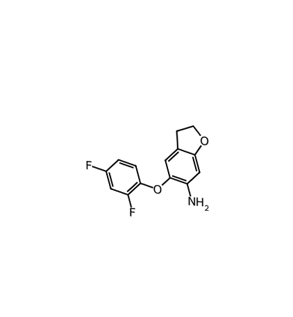 Nc1cc2c(cc1Oc1ccc(F)cc1F)CCO2